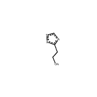 OCCc1ncsn1